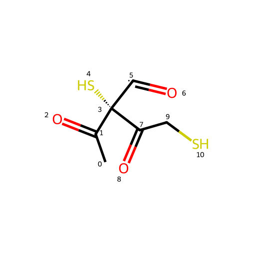 CC(=O)[C@@](S)([C]=O)C(=O)CS